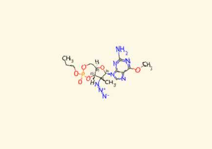 CCCOP1(=O)OC[C@H]2O[C@@H](n3cnc4c(OC)nc(N)nc43)[C@](C)(N=[N+]=[N-])[C@@H]2O1